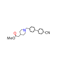 COC(=O)CC1CCN(Cc2ccc(-c3ccc(C#N)cc3)cc2)CC1